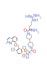 Cc1ccc2cccc(OCc3c(Cl)ccc(S(=O)(=O)NC(C)(C)C(=O)N4CCC(C5CCN(C(=O)[C@@H](N)CCCNC(=N)N)CC5)CC4)c3Cl)c2n1